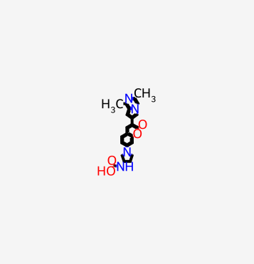 Cc1cn2cc(-c3cc4ccc(N5CC[C@H](NC(=O)O)C5)cc4oc3=O)cc2c(C)n1